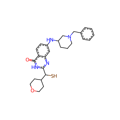 O=c1[nH]c(C(S)C2CCOCC2)nc2cc(NC3CCCN(Cc4ccccc4)C3)ccc12